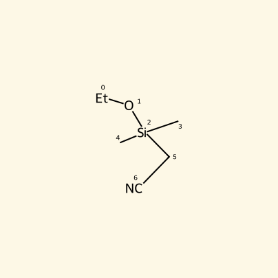 CCO[Si](C)(C)CC#N